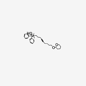 CC(C)(CCCC#CCCCCOC1CCCCO1)[Si](O)(c1ccccc1)c1ccccc1